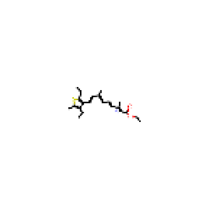 CCOC(=O)/C=C(\C)C=CC=C(C)C=Cc1c(CC)sc(C)c1CC